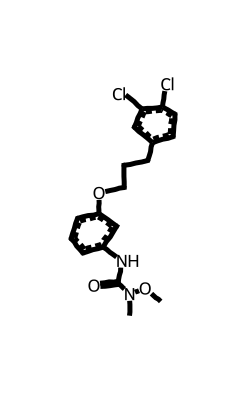 CON(C)C(=O)Nc1cccc(OCCCc2ccc(Cl)c(Cl)c2)c1